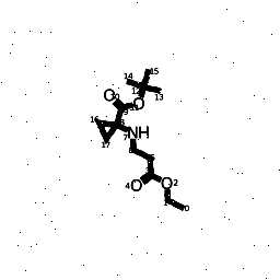 CCOC(=O)CCNC1(C(=O)OC(C)(C)C)CC1